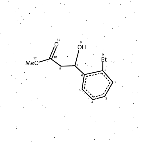 CCc1ccccc1C(O)CC(=O)OC